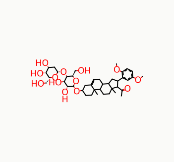 COc1ccc(OC)c(C2CC3C4CC=C5CC(OC6O[C@H](CO)[C@@H](O[C@H]7C[C@@H](O)[C@@H](O)[C@@H](CO)O7)[C@H](O)[C@H]6O)CCC5(C)C4CCC3(C)C2C(C)=O)c1